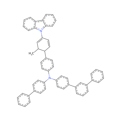 CC1C=C(n2c3ccccc3c3ccccc32)C=CC1c1ccc(N(c2ccc(-c3ccccc3)cc2)c2ccc(-c3cccc(-c4ccccc4)c3)cc2)cc1